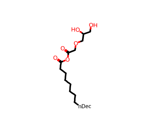 CCCCCCCCCCCCCCCCCC(=O)OC(=O)COCC(O)CO